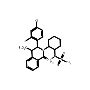 CCOC(=O)C1c2ccccc2C(=O)N(C2CCCCC2N(C)S(C)(=O)=O)C1c1ccc(Cl)cc1Cl